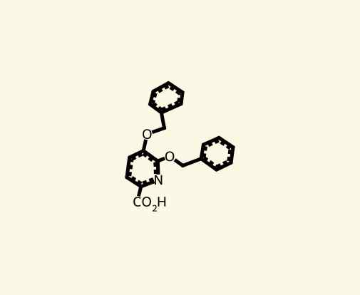 O=C(O)c1ccc(OCc2ccccc2)c(OCc2ccccc2)n1